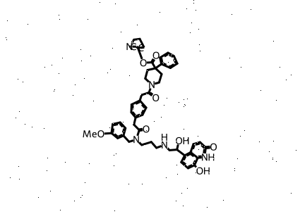 COc1cccc(CN(CCCNCC(O)c2ccc(O)c3[nH]c(=O)ccc23)C(=O)Cc2ccc(CC(=O)N3CCC(C(=O)OC4CN5CCC4CC5)(c4ccccc4)CC3)cc2)c1